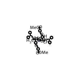 COC(=O)c1ccc(COc2ccc(C(OC(=O)/C=C\C(=O)OC(c3ccc(OCc4ccc(C(=O)OC)cc4)cc3)C(C)NCCC(c3ccccc3)c3ccccc3)C(C)NCCC(c3ccccc3)c3ccccc3)cc2)cc1